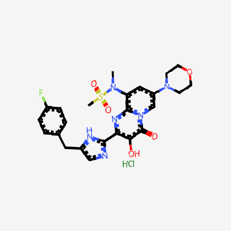 CN(c1cc(N2CCOCC2)cn2c(=O)c(O)c(-c3ncc(Cc4ccc(F)cc4)[nH]3)nc12)S(C)(=O)=O.Cl